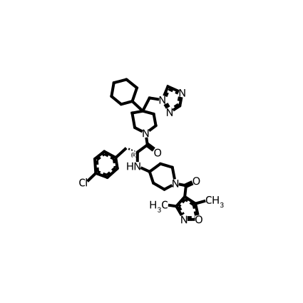 Cc1noc(C)c1C(=O)N1CCC(N[C@H](Cc2ccc(Cl)cc2)C(=O)N2CCC(Cn3cncn3)(C3CCCCC3)CC2)CC1